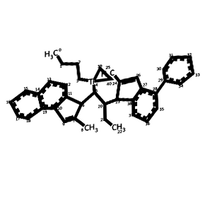 CCC[CH2][Ti]1([CH](C2C(C)=Cc3c2ccc2ccccc32)C(CC)C2C(C)=Cc3c(-c4ccccc4)cccc32)[CH2][CH2]1